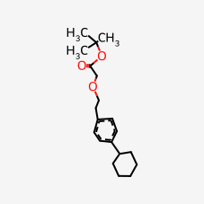 CC(C)(C)OC(=O)COCCc1ccc(C2CCCCC2)cc1